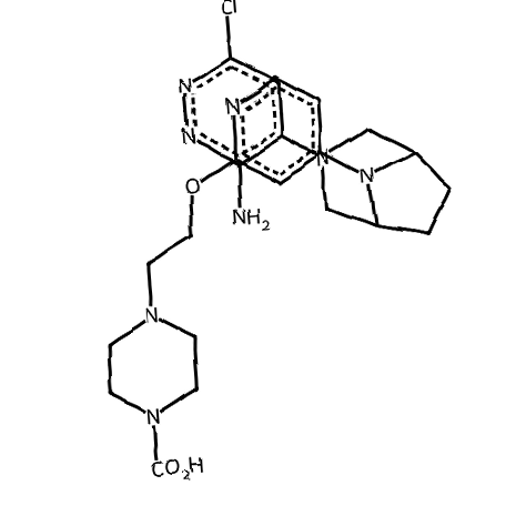 Nc1nnc(Cl)cc1N1CC2CCC(C1)N2c1ccnc(OCCN2CCN(C(=O)O)CC2)c1